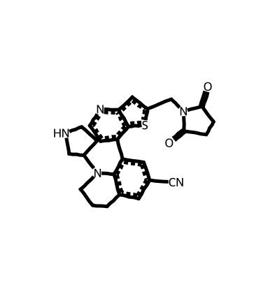 N#Cc1cc2c(c(-c3ccnc4cc(CN5C(=O)CCC5=O)sc34)c1)N(C1CCNC1)CCC2